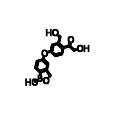 O=C(CO)c1ccc(Oc2ccc3c(c2)COB3O)cc1CO